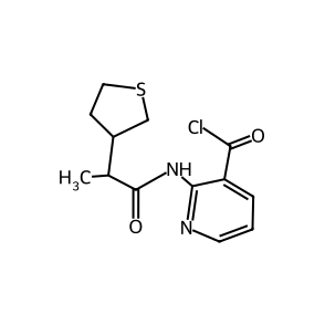 CC(C(=O)Nc1ncccc1C(=O)Cl)C1CCSC1